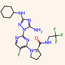 Nc1nc(NC2CCCCC2)nn1-c1ncc(F)c(N2CCC[C@@H]2C(=O)NCC(F)(F)F)n1